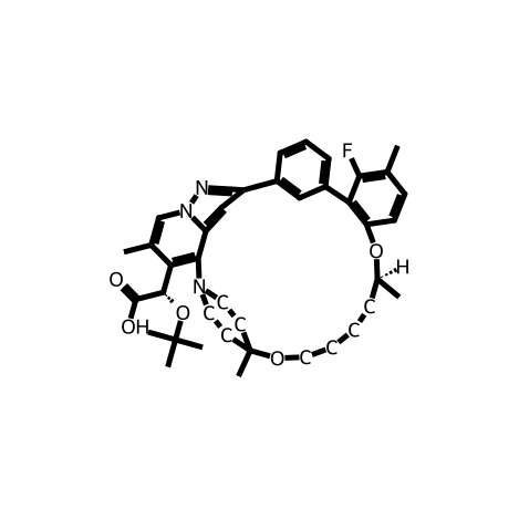 Cc1ccc2c(c1F)-c1cccc(c1)-c1cc3c(c([C@H](OC(C)(C)C)C(=O)O)c(C)cn3n1)N1CCC(C)(CC1)OCCCC[C@H](C)O2